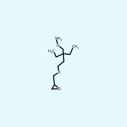 CCC(CC)(CCOCC1CO1)CO[SiH3]